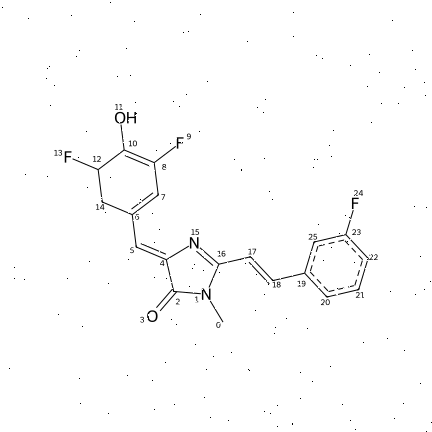 CN1C(=O)/C(=C/C2=CC(F)=C(O)C(F)C2)N=C1/C=C/c1cccc(F)c1